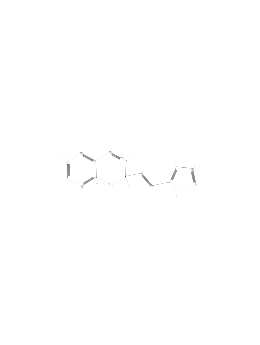 ClC1(/C=C/c2cccs2)N=Cc2ccccc2N1